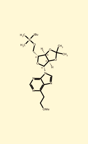 COCCc1ncnc2c1ncn2[C@@H]1O[C@H](CO[Si](C)(C)C(C)(C)C)[C@H]2OC(C)(C)O[C@H]21